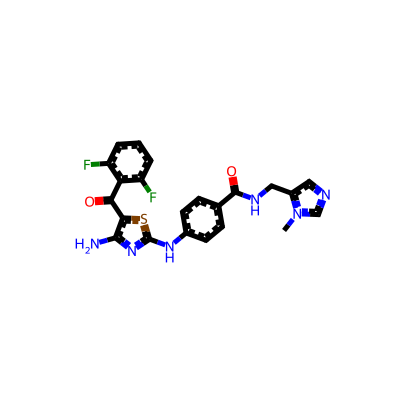 Cn1cncc1CNC(=O)c1ccc(Nc2nc(N)c(C(=O)c3c(F)cccc3F)s2)cc1